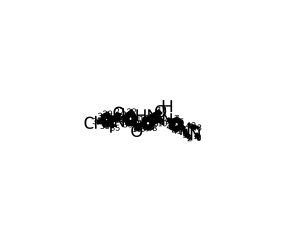 CN1CCN(c2ccc(NC=C3C(=O)Nc4cc(C(=O)c5cccc(NC(=O)c6ccc(Cl)cc6F)c5)ccc43)cc2)CC1